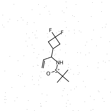 C=CC(N[S+]([O-])C(C)(C)C)C1CC(F)(F)C1